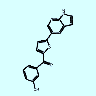 O=C(c1cccc(O)c1)c1ccc(-c2cnc3[nH]ccc3c2)s1